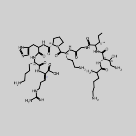 CC[C@H](C)C(NC(=O)[C@@H](NC(=O)C(N)CCCCN)[C@@H](O)CN)C(=O)NCC(=O)N[C@H](CCCN)C(=O)N1CCC[C@H]1C(=O)NC(Cc1cnc[nH]1)C(=O)N[C@@H](CCCCN)C(=O)N/C(=C\CCNC(=N)N)C(=O)O